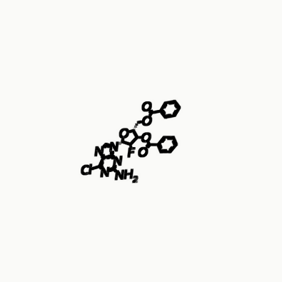 Nc1nc(Cl)c2ncn([C@@H]3O[C@H](COC(=O)c4ccccc4)[C@@H](OC(=O)c4ccccc4)[C@H]3F)c2n1